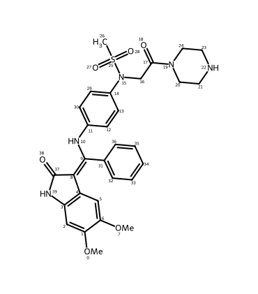 COc1cc2c(cc1OC)/C(=C(/Nc1ccc(N(CC(=O)N3CCNCC3)S(C)(=O)=O)cc1)c1ccccc1)C(=O)N2